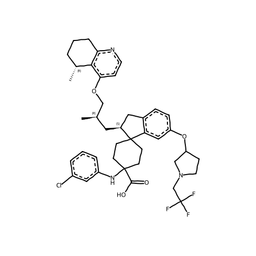 C[C@@H](COc1ccnc2c1[C@H](C)CCC2)C[C@H]1Cc2ccc(OC3CCN(CC(F)(F)F)C3)cc2C12CCC(Nc1cccc(Cl)c1)(C(=O)O)CC2